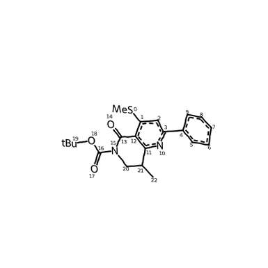 CSc1cc(-c2ccccc2)nc2c1C(=O)N(C(=O)OC(C)(C)C)CC2C